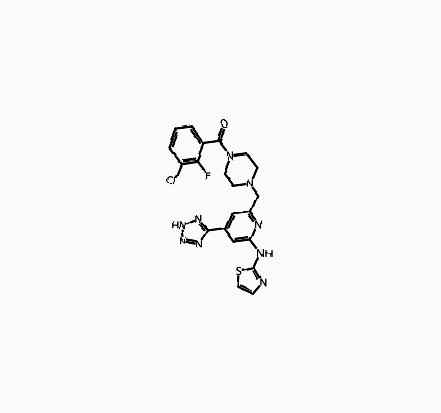 O=C(c1cccc(Cl)c1F)N1CCN(Cc2cc(-c3nn[nH]n3)cc(Nc3nccs3)n2)CC1